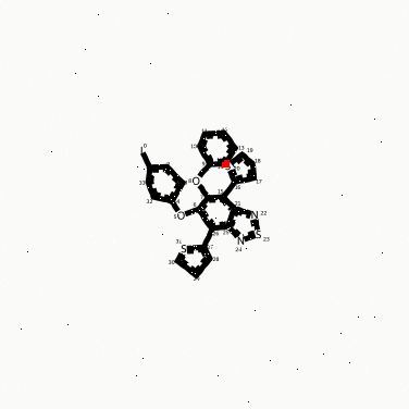 Ic1ccc(Oc2c(Oc3ccccc3)c(-c3cccs3)c3nsnc3c2-c2cccs2)cc1